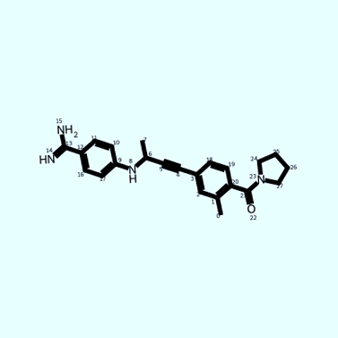 Cc1cc(C#CC(C)Nc2ccc(C(=N)N)cc2)ccc1C(=O)N1CCCC1